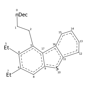 CCCCCCCCCCCCc1c(CC)c(CC)cc2sc3ccccc3c12